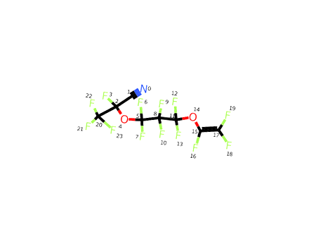 N#CC(F)(OC(F)(F)C(F)(F)C(F)(F)OC(F)=C(F)F)C(F)(F)F